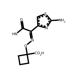 [NH]C(=O)C(=NOC1(C(=O)O)CCC1)c1csc(N)n1